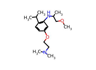 COCC(C)Nc1cc(OCCN(C)C)ccc1C(C)C